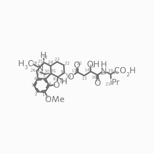 COc1ccc2c3c1O[C@H]1[C@@H](OC(=O)CC(O)C(=O)NC(C(=O)O)C(C)C)CCC4[C@@H](C2)N(C)CC[C@@]341